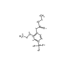 CCOC(=O)Cc1ccc(C(F)(F)F)cc1OCC